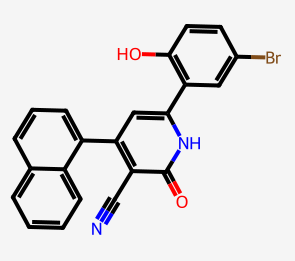 N#Cc1c(-c2cccc3ccccc23)cc(-c2cc(Br)ccc2O)[nH]c1=O